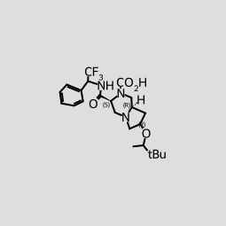 CC(O[C@@H]1C[C@@H]2CN(C(=O)O)[C@H](C(=O)NC(c3ccccc3)C(F)(F)F)CN2C1)C(C)(C)C